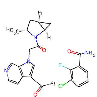 CCC(=O)c1cn(CC(=O)N2[C@@H]3C[C@@H]3C[C@H]2C(=O)O)c2cnccc12.NC(=O)c1cccc(Cl)c1F